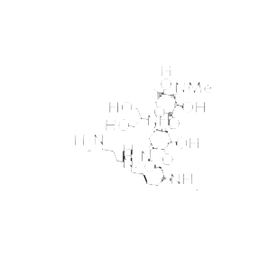 CN[C@@H]1[C@@H](O)[C@@H](O[C@H]2[C@H](NC(CO)CO)C[C@H](N)C(O[C@H]3OC(CNCCCN)=CC[C@H]3N)[C@@H]2O)OC[C@]1(C)O